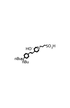 CCCCN(CCCC)c1ccc(/C=C/c2cc[n+](CCCS(=O)(=O)O)cc2)cc1.[OH-]